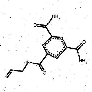 C=CCNC(=O)c1cc(C(N)=O)cc(C(N)=O)c1